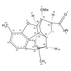 CCCC(=O)[C@H]1C[C@@]23CC[C@@]1(OC)[C@@H]1Oc4c(C)ccc5c4[C@@]12CCN(C)[C@@H]3C5